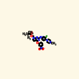 CN1CCN(c2ccc(Nc3nc(Oc4cccc([N+](=O)[O-])c4)c4ccn(COC(=O)C(C)(C)C)c4n3)cc2F)CC1